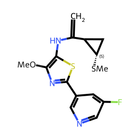 C=C(Nc1sc(-c2cncc(F)c2)nc1OC)C1C[C@@H]1SC